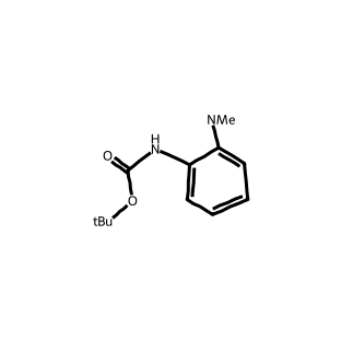 CNc1ccccc1NC(=O)OC(C)(C)C